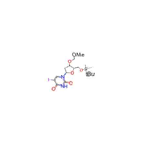 COCOC1C[C@H](n2cc(I)c(=O)[nH]c2=O)O[C@@H]1CO[Si](C)(C)C(C)(C)C